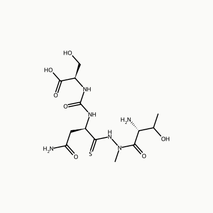 CC(O)[C@@H](N)C(=O)N(C)NC(=S)[C@@H](CC(N)=O)NC(=O)N[C@H](CO)C(=O)O